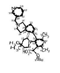 Cc1nc(C)c(C(OC(C)(C)C)C(=O)O)c(N2CCC(C)(C)CC2)c1-c1ccc2c(c1)CCN(Cc1cccnc1)C2